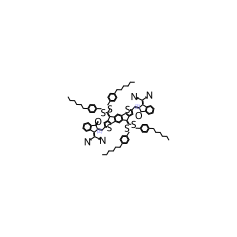 CCCCCCc1ccc(CSC(SCc2ccc(CCCCCC)cc2)=C2c3cc4c(cc3-c3sc(/C=C5\C(=O)c6ccccc6C5=C(C#N)C#N)cc32)C(=C(SCc2ccc(CCCCCC)cc2)SCc2ccc(CCCCCC)cc2)c2cc(/C=C3\C(=O)c5ccccc5C3=C(C#N)C#N)sc2-4)cc1